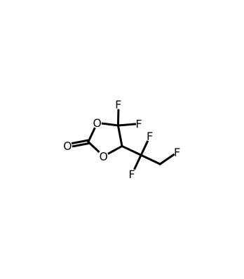 O=C1OC(C(F)(F)CF)C(F)(F)O1